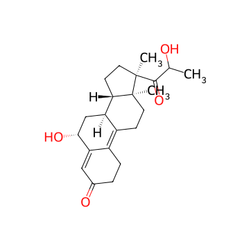 CC(O)C(=O)[C@]1(C)CC[C@H]2[C@@H]3C[C@@H](O)C4=CC(=O)CCC4=C3CC[C@@]21C